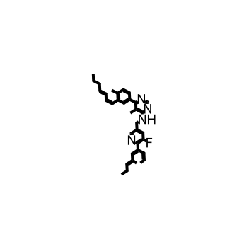 C\C=C/C(=C\C(C)=C\CC)c1ncc(CNc2ncnc(-c3ccc(C)c(/C=C\C=C\CCC)c3)c2C)cc1F